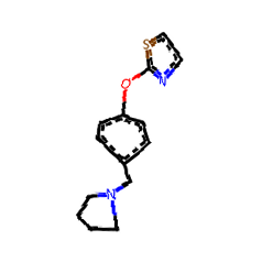 c1csc(Oc2ccc(CN3CCCC3)cc2)n1